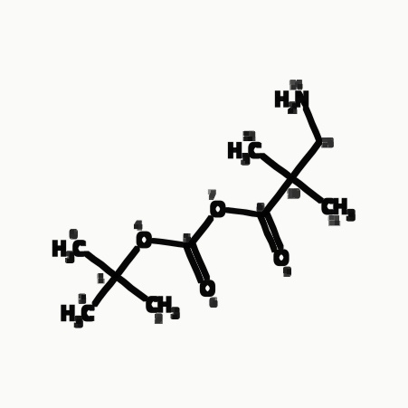 CC(C)(C)OC(=O)OC(=O)C(C)(C)CN